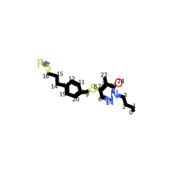 CCCCn1ncc(SCc2ccc(CCCSF)cc2)c(C)c1=O